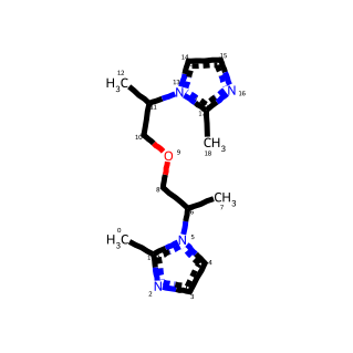 Cc1nccn1C(C)COCC(C)n1ccnc1C